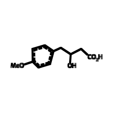 COc1ccc(CC(O)CC(=O)O)cc1